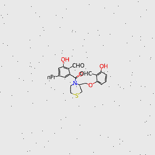 CCCc1cc(O)c(C=O)c(C(=O)N2CCSCC2COc2cccc(O)c2C=O)c1